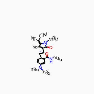 CCCCNC(=O)c1cc(N(CCCC)CCCC)ccc1/C=C/C1=C(C#N)C(=C(C#N)C#N)N(CCCC)C1=O